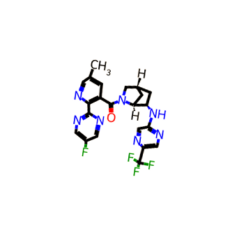 Cc1cnc(-c2ncc(F)cn2)c(C(=O)N2C[C@@H]3C[C@@H](Nc4cnc(C(F)(F)F)cn4)[C@@H]2C3)c1